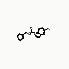 O=C(OCc1ccccc1)n1ccc2cc(Br)ccc21